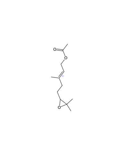 CC(=O)OC/C=C(\C)CCC1OC1(C)C